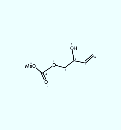 C=CC(O)COC(=O)OC